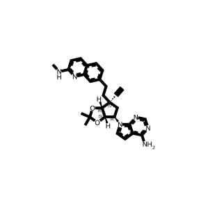 C#C[C@]1(CCc2ccc3ccc(NC)nc3c2)C[C@@H](n2ccc3c(N)ncnc32)[C@@H]2OC(C)(C)O[C@@H]21